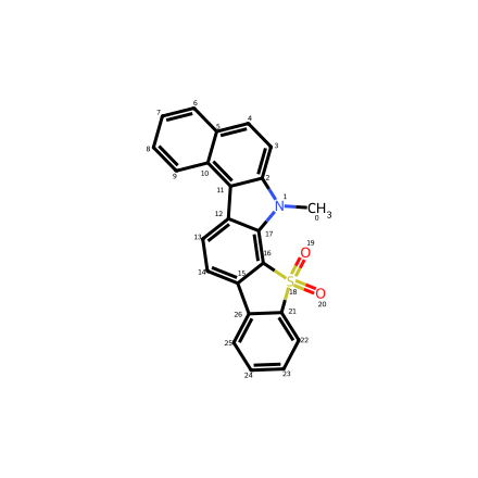 Cn1c2ccc3ccccc3c2c2ccc3c(c21)S(=O)(=O)c1ccccc1-3